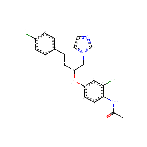 CC(=O)Nc1ccc(OC(CCc2ccc(Cl)cc2)Cn2ccnc2)cc1Cl